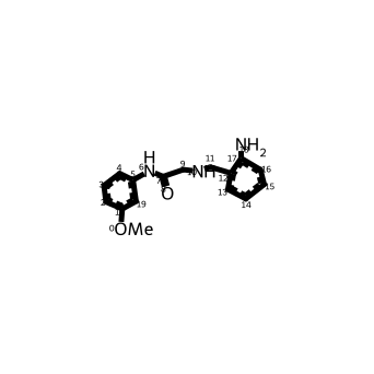 COc1cccc(NC(=O)CNCc2ccccc2N)c1